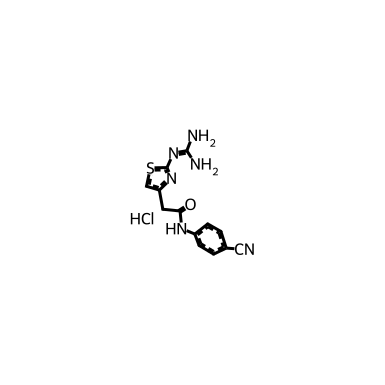 Cl.N#Cc1ccc(NC(=O)Cc2csc(N=C(N)N)n2)cc1